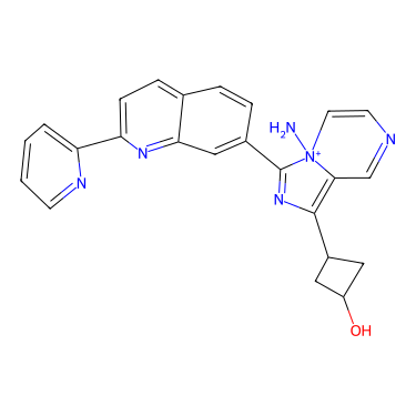 N[N+]12C=CN=CC1=C(C1CC(O)C1)N=C2c1ccc2ccc(-c3ccccn3)nc2c1